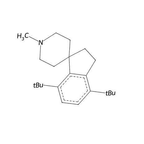 CN1CCC2(CCc3c(C(C)(C)C)ccc(C(C)(C)C)c32)CC1